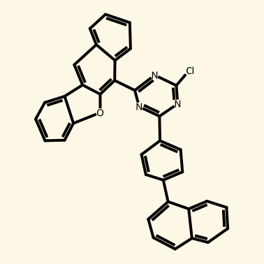 Clc1nc(-c2ccc(-c3cccc4ccccc34)cc2)nc(-c2c3ccccc3cc3c2oc2ccccc23)n1